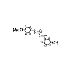 COc1ccc(/C=C/C(=O)/C=C/c2cccc(O)c2)cc1